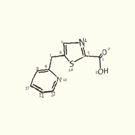 O=C(O)c1ncc(Cc2ccccn2)s1